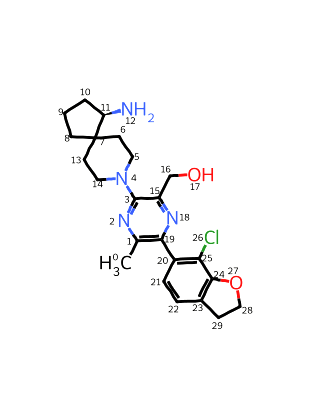 Cc1nc(N2CCC3(CCC[C@H]3N)CC2)c(CO)nc1-c1ccc2c(c1Cl)OCC2